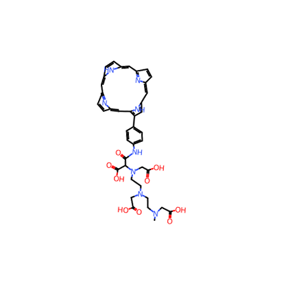 CN(CCN(CCN(CC(=O)O)C(C(=O)O)C(=O)Nc1ccc(-c2cc3cc4nc(cc5ccc(cc6nc(cc2[nH]3)C=C6)[nH]5)C=C4)cc1)CC(=O)O)CC(=O)O